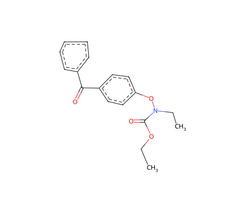 CCOC(=O)N(CC)Oc1ccc(C(=O)c2ccccc2)cc1